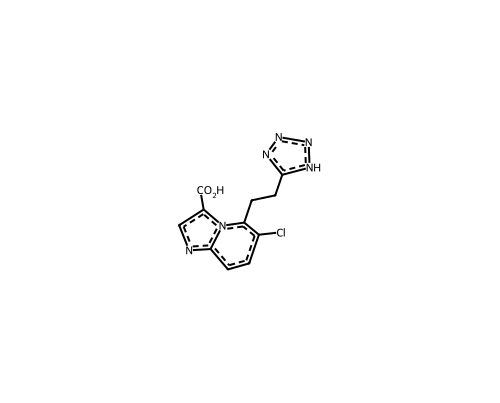 O=C(O)c1cnc2ccc(Cl)c(CCc3nnn[nH]3)n12